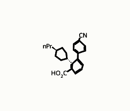 CCC[C@H]1CC[C@H](c2c(C(=O)O)cccc2-c2ccc(C#N)cc2)CC1